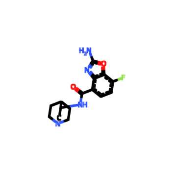 Nc1nc2c(C(=O)NC3CN4CCC3CC4)ccc(F)c2o1